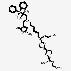 CCCCCCCC[C@@H](OCOC)[C@H]1CC[C@H]([C@H]2CC[C@H]([C@@H](C/C=C/CCC[C@H](CC3=C[C@H](C)OC3=O)CC(C)(C)[Si](O)(c3ccccc3)c3ccccc3)OCOC)O2)O1